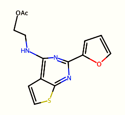 CC(=O)OCCNc1nc(-c2ccco2)nc2sccc12